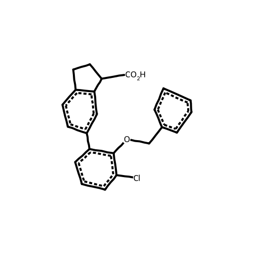 O=C(O)C1CCc2ccc(-c3cccc(Cl)c3OCc3ccccc3)cc21